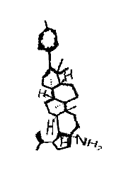 C=C(C)[C@@H]1CC[C@]2(N)CC[C@]3(C)[C@H](CC[C@@H]4[C@@]5(C)CC=C(c6ccc(C)cc6)C(C)(C)[C@@H]5CC[C@]43C)[C@@H]12